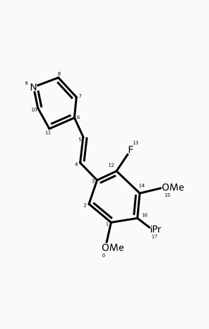 COc1cc(/C=C/c2ccncc2)c(F)c(OC)c1C(C)C